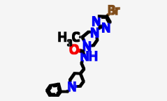 C[C@@H]1CN(c2ncc(Br)cn2)CCN1C(=O)NCCC1CCN(Cc2ccccc2)CC1